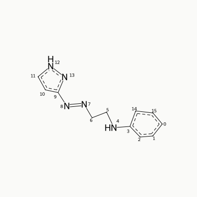 c1ccc(NCCN=Nc2cc[nH]n2)cc1